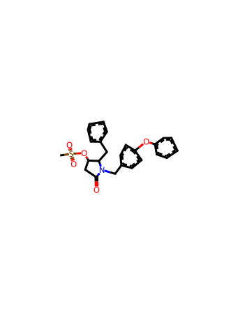 CS(=O)(=O)OC1CC(=O)N(Cc2ccc(Oc3ccccc3)cc2)C1Cc1ccccc1